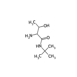 CC(O)C(N)C(=O)NC(C)(C)C